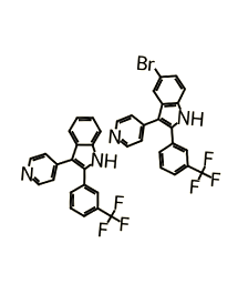 FC(F)(F)c1cccc(-c2[nH]c3ccc(Br)cc3c2-c2ccncc2)c1.FC(F)(F)c1cccc(-c2[nH]c3ccccc3c2-c2ccncc2)c1